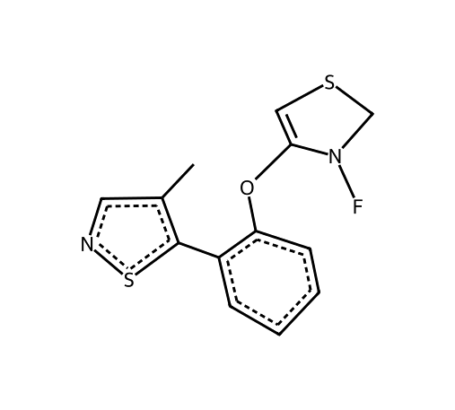 Cc1cnsc1-c1ccccc1OC1=CSCN1F